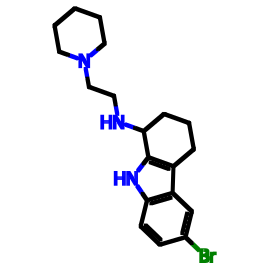 Brc1ccc2[nH]c3c(c2c1)CCCC3NCCN1CCCCC1